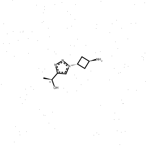 C[C@H](O)c1cn([C@H]2C[C@H](N)C2)nn1